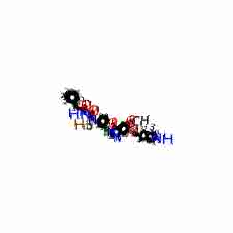 COc1cc2c(Oc3ccc(N(S)C(=O)NC(=O)Cc4ccccc4)cc3F)ncnc2cc1OCC1CC2CNCC2C1